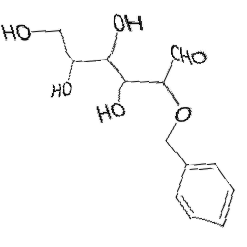 O=CC(OCc1ccccc1)C(O)C(O)C(O)CO